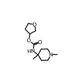 CN1CCC(C)(NC(=O)OC2CCOC2)CC1